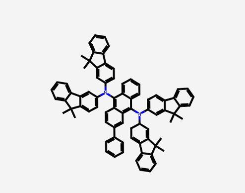 CC1(C)C2=CC(N(c3ccc4c(c3)C(C)(C)c3ccccc3-4)c3c4ccccc4c(N(c4ccc5c(c4)-c4ccccc4C5(C)C)c4ccc5c(c4)C(C)(C)c4ccccc4-5)c4ccc(-c5ccccc5)cc34)CC=C2c2ccccc21